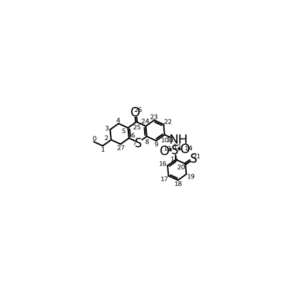 CCC1CCc2c(sc3cc(NS(=O)(=O)C4=CC=CCC4=S)ccc3c2=O)C1